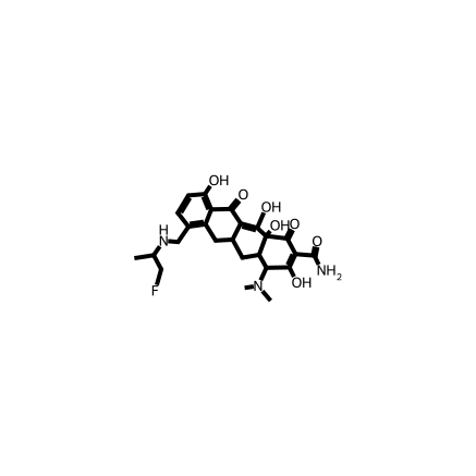 CC(CF)NCc1ccc(O)c2c1CC1CC3C(N(C)C)C(O)=C(C(N)=O)C(=O)C3(O)C(O)=C1C2=O